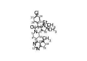 CCN1[C@H]([C@@H](C(=O)N2CCC(c3ncnc4c3[C@H](C)CC4)CC2)c2ccc(Cl)cc2)CCC1(C)C